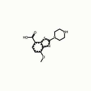 COc1ccc(C(=O)O)c2sc(N3CCNCC3)nc12